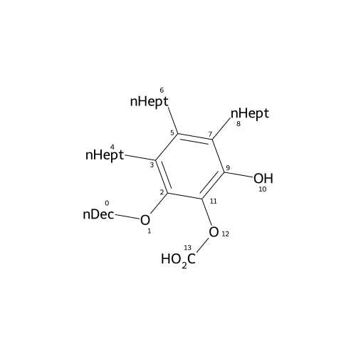 CCCCCCCCCCOc1c(CCCCCCC)c(CCCCCCC)c(CCCCCCC)c(O)c1OC(=O)O